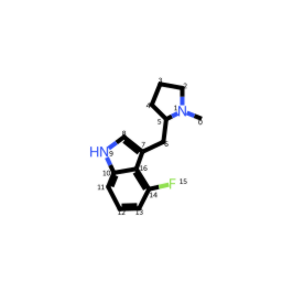 CN1CCCC1Cc1c[nH]c2cccc(F)c12